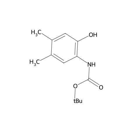 Cc1cc(O)c(NC(=O)OC(C)(C)C)cc1C